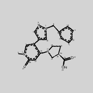 Cn1cc(-c2cnn(Cc3ccccc3)c2)c(N2CC[C@@H](C(=O)O)C2)cc1=O